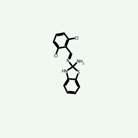 NC1(/N=C/c2c(Cl)cccc2Cl)Nc2ccccc2S1